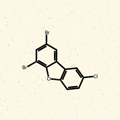 Clc1ccc2oc3c(Br)cc(Br)cc3c2c1